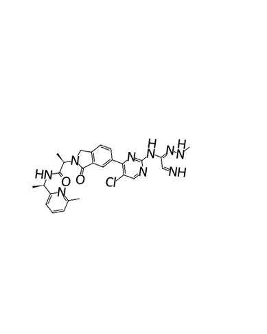 CN/N=C(\C=N)Nc1ncc(Cl)c(-c2ccc3c(c2)C(=O)N([C@H](C)C(=O)N[C@H](C)c2cccc(C)n2)C3)n1